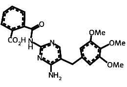 COc1cc(Cc2cnc(NC(=O)c3ccccc3C(=O)O)nc2N)cc(OC)c1OC